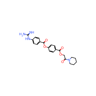 N=C(N)Nc1ccc(C(=O)Oc2ccc(C(=O)OCC(=O)N3CCCCC3)cc2)cc1